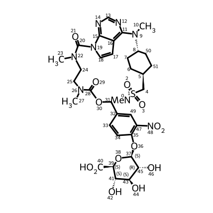 CNS(=O)(=O)C[C@H]1CC[C@H](N(C)c2ncnc3c2ccn3C(=O)N(C)CCN(C)C(=O)OCc2ccc(O[C@@H]3O[C@H](C(=O)O)[C@@H](O)[C@H](O)[C@H]3O)c([N+](=O)[O-])c2)CC1